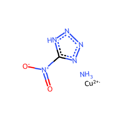 N.O=[N+]([O-])c1nnn[nH]1.[Cu+2]